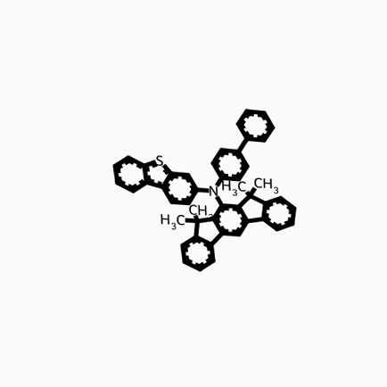 CC1(C)c2ccccc2-c2cc3c(c(N(c4ccc(-c5ccccc5)cc4)c4ccc5c(c4)sc4ccccc45)c21)C(C)(C)c1ccccc1-3